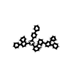 c1ccc(-c2ccc(-c3nc(-c4ccc(-c5ccccc5)c5ccccc45)nc(-c4cccc5oc6c(-c7ccc(-c8ccccc8)c(-c8ccccc8)c7)cccc6c45)n3)cc2)cc1